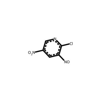 O=Nc1cc([N+](=O)[O-])cnc1Cl